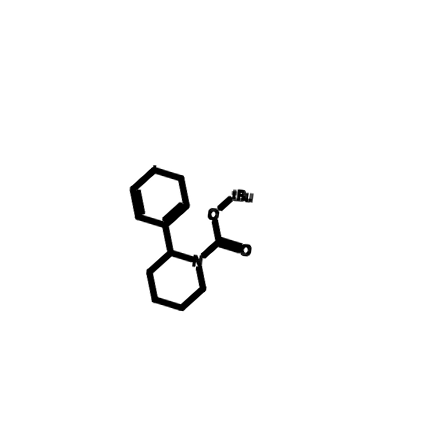 CC(C)(C)OC(=O)N1CCCCC1C1=CC[CH]C=C1